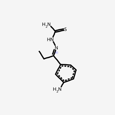 CC/C(=N\NC(N)=S)c1cccc(N)c1